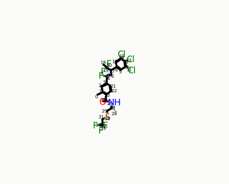 Cc1cc(/C(F)=C/C(c2cc(Cl)c(Cl)c(Cl)c2)C(C)(F)F)ccc1C(=O)N[C@H](C)CSCC(F)(F)F